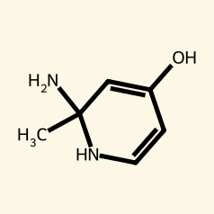 CC1(N)C=C(O)C=CN1